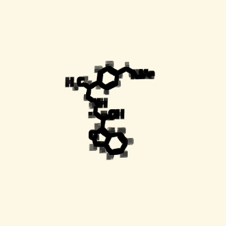 CNCc1ccc(C(C)CNCC(O)c2occ3ccccc23)cc1